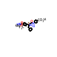 CC(C)(C)NS(=O)(=O)c1ccc(-c2sc(C(=O)NC3CCC(C(=O)O)CC3)nc2CC2CCCCC2)cc1C(F)(F)F